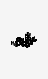 CCN(CC)C(=O)C(OC(=O)C(F)(F)F)n1cc(-c2nc3ccccc3n(CC(C)N)c2=O)c2ccccc21